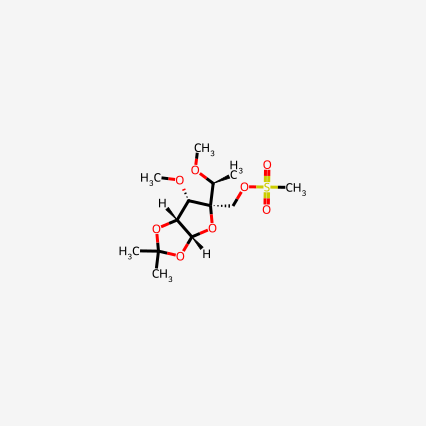 CO[C@@H](C)[C@@]1(COS(C)(=O)=O)O[C@@H]2OC(C)(C)O[C@@H]2[C@@H]1OC